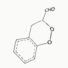 O=[C]C1Cc2ccccc2OO1